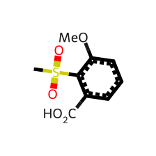 COc1cccc(C(=O)O)c1S(C)(=O)=O